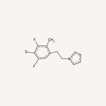 Cc1c(CCn2cccc2)cc(F)[c]([Ti])c1F